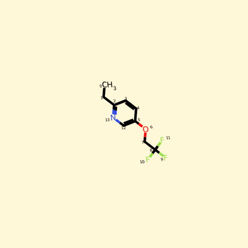 CCc1ccc(OCC(F)(F)F)cn1